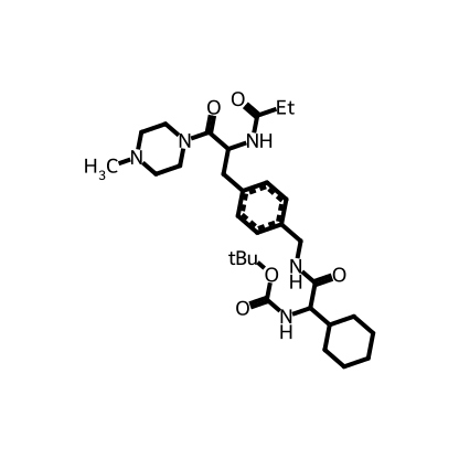 CCC(=O)NC(Cc1ccc(CNC(=O)C(NC(=O)OC(C)(C)C)C2CCCCC2)cc1)C(=O)N1CCN(C)CC1